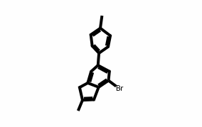 CC1=Cc2c(Br)cc(-c3ccc(C)cc3)cc2C1